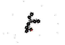 c1ccc(-c2cccc(-c3nc(-c4ccc5c(c4)oc4c5ccc5c6ccccc6n(-c6ccccc6)c54)nc(-c4ccc5c(c4)sc4ccccc45)n3)c2)cc1